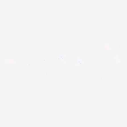 CC(C)(O)c1cc(CN2CCN(c3cccc(S(C)(=O)=O)c3)CC2)ccc1C(F)(F)F